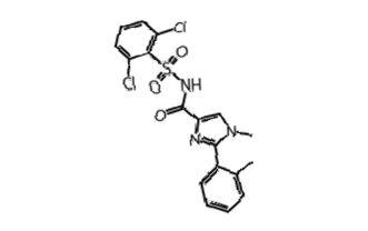 Cc1ccccc1-c1nc(C(=O)NS(=O)(=O)c2c(Cl)cccc2Cl)cn1C